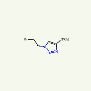 CCCCCc1cn(CCC(C)C)nn1